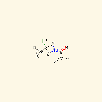 CC(C)C(=O)N1CC(F)(C2CC2)C1